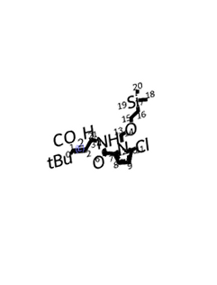 CC(C)(C)/C=C/C(NC(=O)c1ccc(Cl)n1COCC[Si](C)(C)C)C(=O)O